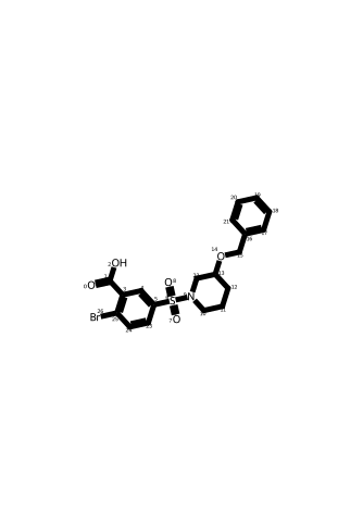 O=C(O)c1cc(S(=O)(=O)N2CCCC(OCc3ccccc3)C2)ccc1Br